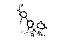 Cc1cc(-c2ccc(OC(F)(F)F)cc2F)ccc1C(O)(c1cncnc1)C(C)(C)C